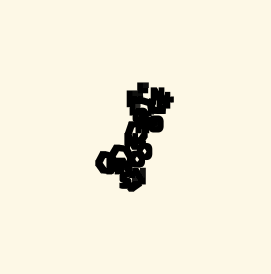 Cn1cc(S(=O)(=O)N2CCN(C(CC3CCCCC3)C(=O)Nc3nccs3)C(=O)C2)c(C(F)(F)F)n1